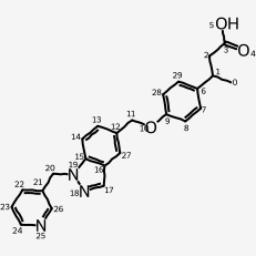 CC(CC(=O)O)c1ccc(OCc2ccc3c(cnn3Cc3cccnc3)c2)cc1